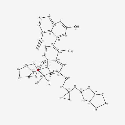 C#Cc1cccc2cc(O)cc(-c3ccc4c(N5CC6CCC(C5)N6C(=O)C(F)(F)F)nc(OCC5(CN6CC7CCCC7C6)CC5)nc4c3F)c12